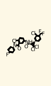 CN(C(=O)c1cc(NC(=O)[C@H]2[C@H](c3ccc(C(F)F)c(Cl)c3)C2(Cl)Cl)ccc1Cl)c1ccc(F)cc1